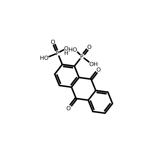 O=C1c2ccccc2C(=O)c2c1ccc(P(=O)(O)O)c2P(=O)(O)O